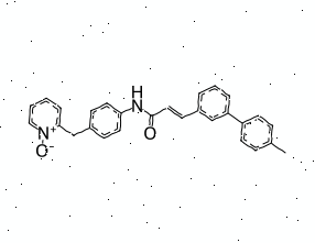 Cc1ccc(-c2cccc(/C=C/C(=O)Nc3ccc(Cc4cccc[n+]4[O-])cc3)c2)cc1